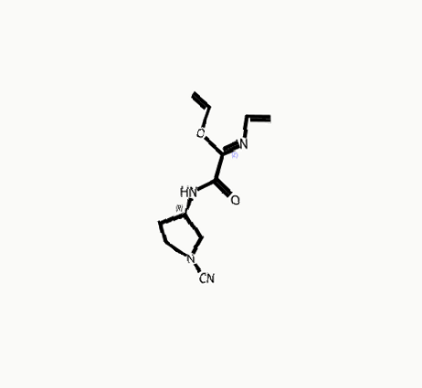 C=C/N=C(\OC=C)C(=O)N[C@@H]1CCN(C#N)C1